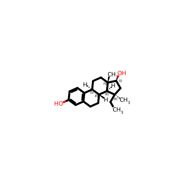 CC[C@]1(C)C[C@H](O)[C@@]2(C)CC[C@@H]3c4ccc(O)cc4CC[C@H]3[C@H]12